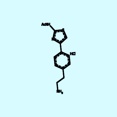 CC(=O)Nc1nc(-c2ccc(CCN)cc2)cs1.Cl